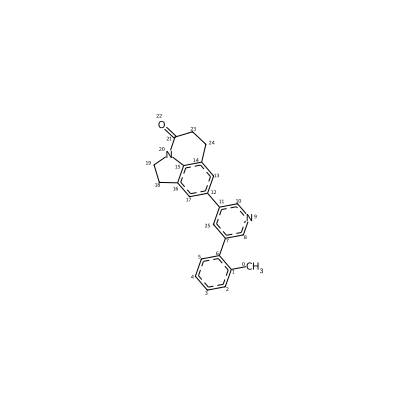 Cc1ccccc1-c1cncc(-c2cc3c4c(c2)CCN4C(=O)CC3)c1